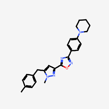 Cc1ccc(Cc2cc(-c3nc(-c4ccc(N5CCCCC5)cc4)no3)nn2C)cc1